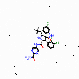 CC(C)(C)C[C@@H]1N[C@@H](C(=O)Nc2cnc(C(N)=O)nc2)[C@H](c2cccc(Cl)c2F)[C@]12C(=O)Nc1cc(Cl)ccc12